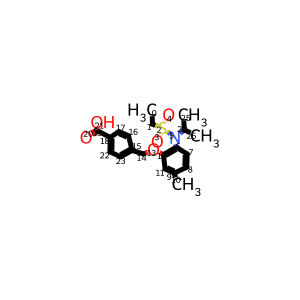 CCS(=O)(=O)N(c1ccc(C)cc1OCc1ccc(C(=O)O)cc1)C(C)C